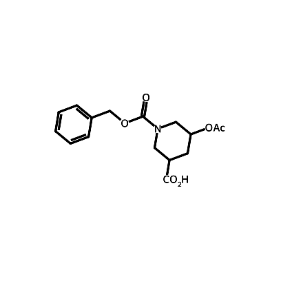 CC(=O)OC1CC(C(=O)O)CN(C(=O)OCc2ccccc2)C1